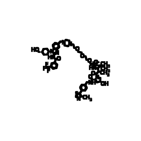 Cc1ncsc1-c1ccc(CNC(=O)[C@@H]2C[C@@H](O)CN2C(=O)C(C)[C@@H](NC(=O)COCCOCCOCCN2CCN(Cc3ccc4c(c3)nc(NC(=O)c3cccc(C(F)(F)F)c3)n4[C@H]3CC[C@@H](CO)CC3)CC2)C(C)(C)C)cc1